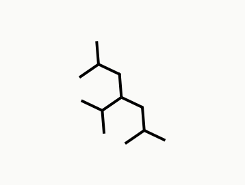 CC(C)CC(CC(C)C)C(C)C